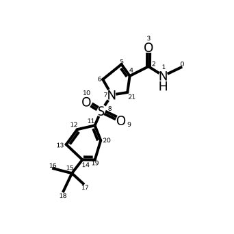 CNC(=O)C1=CCN(S(=O)(=O)c2ccc(C(C)(C)C)cc2)C1